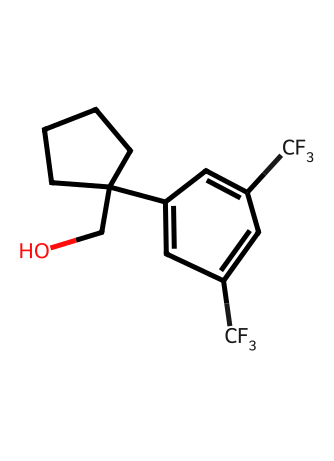 OCC1(c2cc(C(F)(F)F)cc(C(F)(F)F)c2)CCCC1